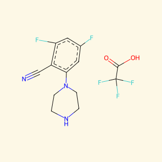 N#Cc1c(F)cc(F)cc1N1CCNCC1.O=C(O)C(F)(F)F